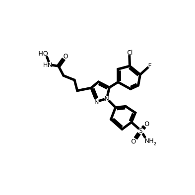 NS(=O)(=O)c1ccc(-n2nc(CCCC(=O)NO)cc2-c2ccc(F)c(Cl)c2)cc1